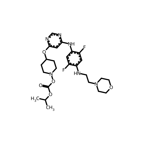 CC(C)OC(=O)ON1CCC(Oc2cc(Nc3cc(F)c(NCCN4CCOCC4)cc3F)ncn2)CC1